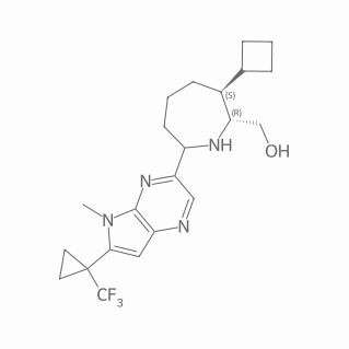 Cn1c(C2(C(F)(F)F)CC2)cc2ncc(C3CCC[C@@H](C4CCC4)[C@H](CO)N3)nc21